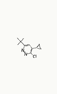 CC(C)(C)c1cc(C2CC2)c(Cl)nn1